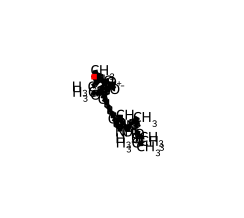 CCC1CC(C)=CN1C(=O)c1cc(OC)c(OCCCCCOc2cc(N)c(C(=O)N3C=C(C)C[C@H]3CO[Si](C)(C)C(C)(C)C)cc2C)cc1[N+](=O)[O-]